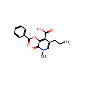 CCCc1cn(C)c(=O)c(OC(=O)c2ccccc2)c1C(=O)O